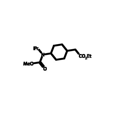 CCOC(=O)CC1CCC(N(C(=O)OC)C(C)C)CC1